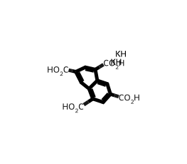 O=C(O)c1cc(C(=O)O)c2cc(C(=O)O)cc(C(=O)O)c2c1.[KH].[KH]